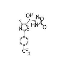 Cc1nc(-c2ccc(C(F)(F)F)cc2)sc1C(O)c1noc(=O)[nH]1